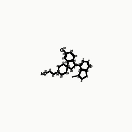 C[C@@H]1CCc2ncnc(N3CC4(CCN(CCO)CC4)c4cc(Cl)ccc43)c21